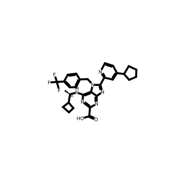 C[C@@H](Nc1nc(C(=O)O)nc2nc(-c3cc(C4CCCC4)ccn3)n(Cc3ccc(C(F)(F)F)cc3)c12)C1CCC1